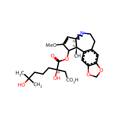 COC1=C[C@]23CCCN2CCc2cc4c(cc2[C@]3(C)C1OC(=O)[C@@](O)(CCCC(C)(C)O)CC(=O)O)OCO4